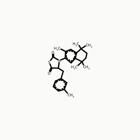 Cc1cccc(CC2C(=O)SC(=O)N2c2cc3c(cc2C)C(C)(C)CCC3(C)C)c1